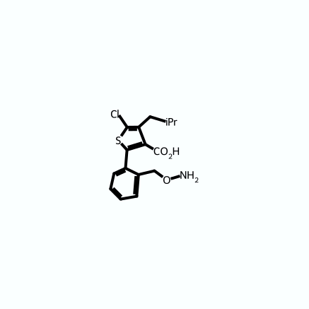 CC(C)Cc1c(Cl)sc(-c2ccccc2CON)c1C(=O)O